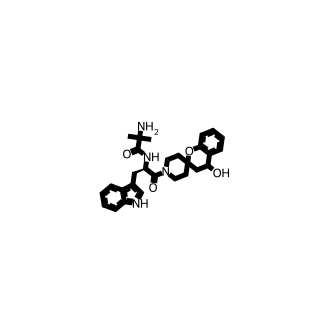 CC(C)(N)C(=O)N[C@H](Cc1c[nH]c2ccccc12)C(=O)N1CCC2(CC1)CC(O)c1ccccc1O2